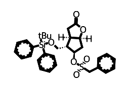 CC(C)(C)[Si](OC[C@@H]1[C@H]2CC(=O)O[C@H]2C[C@H]1OS(=O)(=O)Cc1ccccc1)(c1ccccc1)c1ccccc1